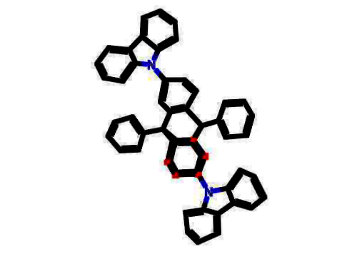 c1ccc(C23c4ccccc4C(c4ccccc4)(c4ccc(-n5c6ccccc6c6ccccc65)cc42)c2cc(-n4c5ccccc5c5ccccc54)ccc23)cc1